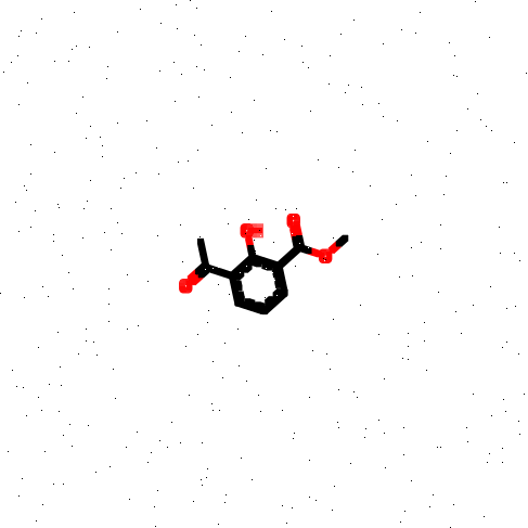 COC(=O)c1cccc(C(C)=O)c1O